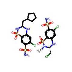 CN1[C@@H](CCl)Nc2cc(Cl)c(S(N)(=O)=O)cc2S1(=O)=O.NS(=O)(=O)c1cc2c(cc1Cl)NC(CC1CCCC1)NS2(=O)=O